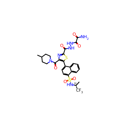 CC1CCN(C(=O)c2nc(C(=O)NNC(=O)C(N)=O)sc2-c2ccc(S(=O)(=O)N[C@@H](C)C(F)(F)F)c3ccccc23)CC1